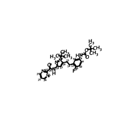 CC(C)(C)OC(=O)Nc1ccc(F)c(CCc2cc(NC(=O)c3ncccn3)nn2C(C)(C)C)c1